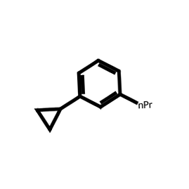 CCCc1[c]c(C2CC2)ccc1